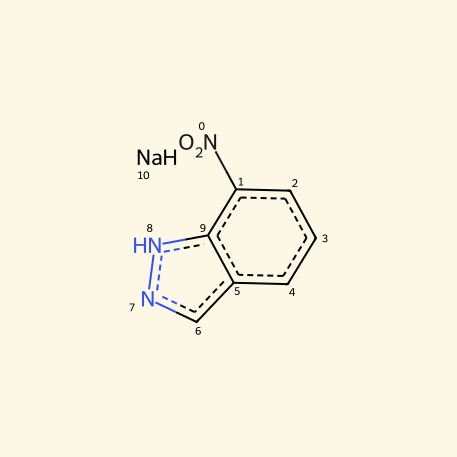 O=[N+]([O-])c1cccc2cn[nH]c12.[NaH]